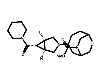 COC(=O)N1CC2CCC(N3C[C@@H]4[C@H](C3)[C@H]4C(=O)N3CCCCC3)CC1CO2